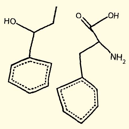 CCC(O)c1ccccc1.NC(Cc1ccccc1)C(=O)O